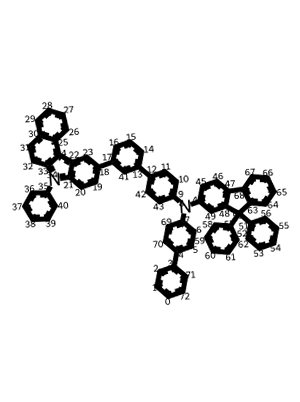 c1ccc(-c2ccc(N(c3ccc(-c4cccc(-c5ccc6c(c5)c5c7ccccc7ccc5n6-c5ccccc5)c4)cc3)c3ccc4c(c3)C(c3ccccc3)(c3ccccc3)c3ccccc3-4)cc2)cc1